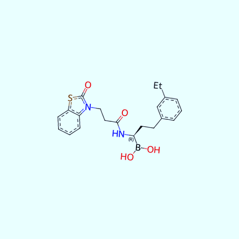 CCc1cccc(CC[C@H](NC(=O)CCn2c(=O)sc3ccccc32)B(O)O)c1